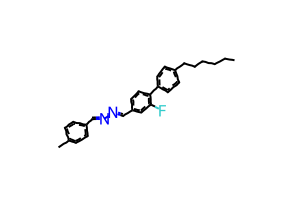 CCCCCCc1ccc(-c2ccc(C=NN=Cc3ccc(C)cc3)cc2F)cc1